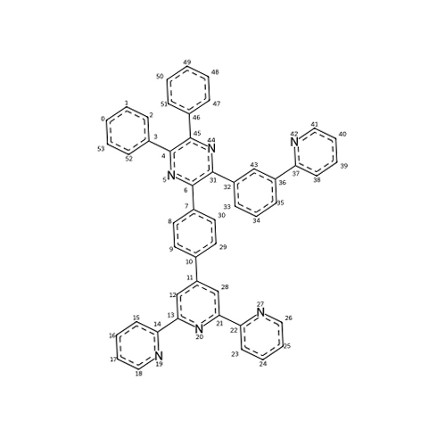 c1ccc(-c2nc(-c3ccc(-c4cc(-c5ccccn5)nc(-c5ccccn5)c4)cc3)c(-c3cccc(-c4ccccn4)c3)nc2-c2ccccc2)cc1